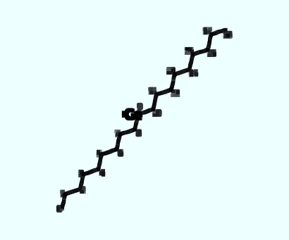 CCCCCCCC[CH2][Ge][CH2]CCCCCCCC